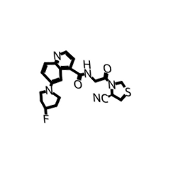 N#C[C@@H]1CSCN1C(=O)CNC(=O)c1ccnc2ccc(N3CCC(F)CC3)cc12